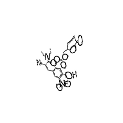 CCN(CC)C(=O)C(C#N)=Cc1cc(OC(=O)OCC2C=CC(=O)O2)c(O)c([N+](=O)[O-])c1